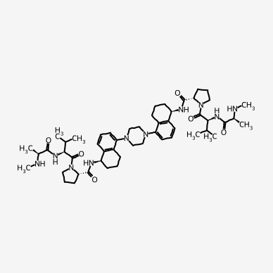 CN[C@@H](C)C(=O)N[C@H](C(=O)N1CCC[C@H]1C(=O)N[C@@H]1CCCc2c1cccc2N1CCN(c2cccc3c2CCC[C@H]3NC(=O)[C@@H]2CCCN2C(=O)[C@@H](NC(=O)[C@H](C)NC)C(C)C)CC1)C(C)C